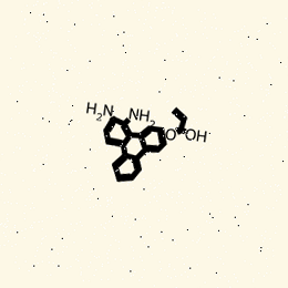 C=CC(=O)O.Nc1ccc2c3ccccc3c3ccccc3c2c1N